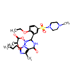 CCCC1=NC(C)=C2C(=O)NC(c3cc(S(=O)(=O)N4CCN(C)CC4)ccc3OCC)N(OC(=O)C(C)O)[N+]12